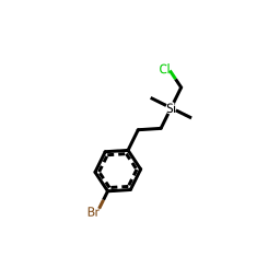 C[Si](C)(CCl)CCc1ccc(Br)cc1